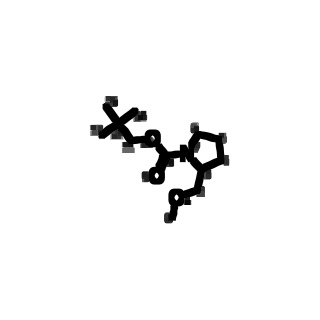 COCC1CCCN1C(=O)OCC(C)(C)C